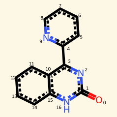 O=c1nc(-c2ccccn2)c2ccccc2[nH]1